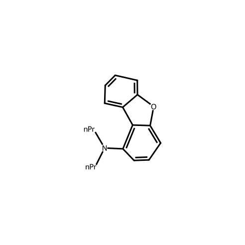 CCCN(CCC)c1cccc2oc3ccccc3c12